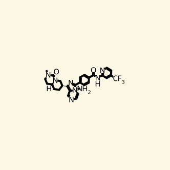 CN1CC[C@@H]2CC[C@@H](C3=C4C=NC=C[N+]4(N)C(c4ccc(C(=O)Nc5cc(C(F)(F)F)ccn5)cc4)=N3)CN2C1=O